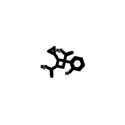 CC(C)c1ccccc1C1(C(N)=O)CN(C(N)=O)C1C1CC1